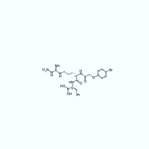 CC(C)C[C@H](NC(=O)[C@H](CCCNC(=N)N[N+](=O)[O-])NC(=O)COc1ccc(Br)cc1)B(O)O